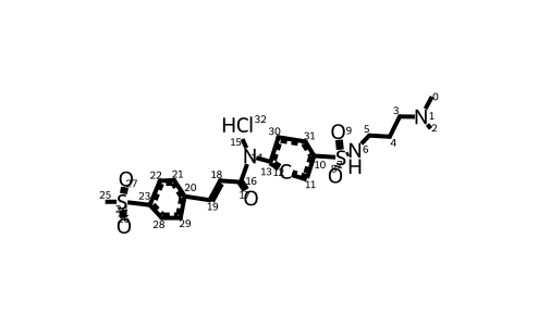 CN(C)CCCNS(=O)(=O)c1ccc(N(C)C(=O)C=Cc2ccc(S(C)(=O)=O)cc2)cc1.Cl